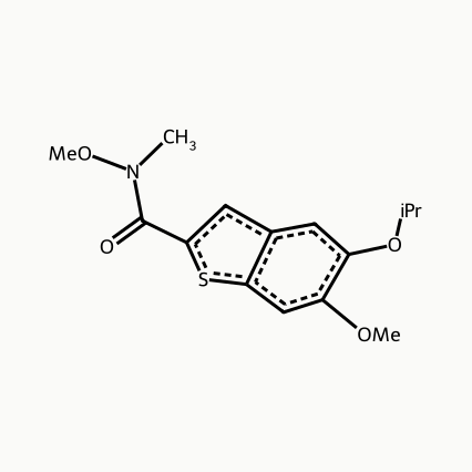 COc1cc2sc(C(=O)N(C)OC)cc2cc1OC(C)C